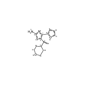 C=C(c1sc(N)nc1-c1ccco1)C1CCOCC1